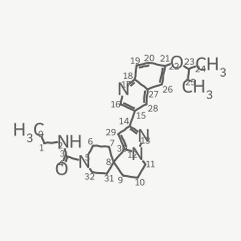 CCNC(=O)N1CCC2(CCCn3nc(-c4cnc5ccc(OC(C)C)cc5c4)cc32)CC1